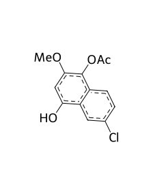 COc1cc(O)c2cc(Cl)ccc2c1OC(C)=O